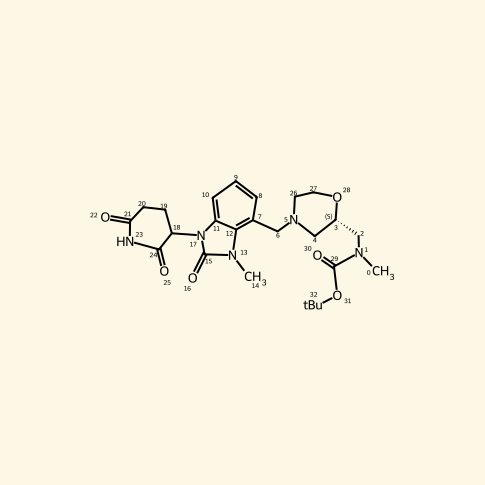 CN(C[C@@H]1CN(Cc2cccc3c2n(C)c(=O)n3C2CCC(=O)NC2=O)CCO1)C(=O)OC(C)(C)C